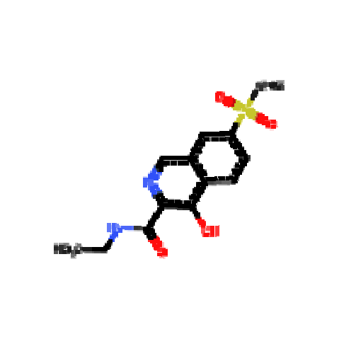 CCCCCCS(=O)(=O)c1ccc2c(O)c(C(=O)NCC(=O)O)ncc2c1